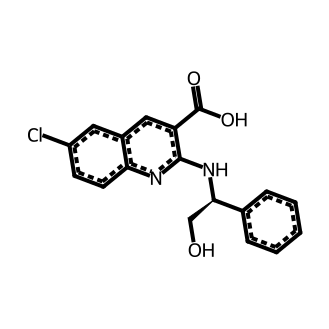 O=C(O)c1cc2cc(Cl)ccc2nc1N[C@H](CO)c1ccccc1